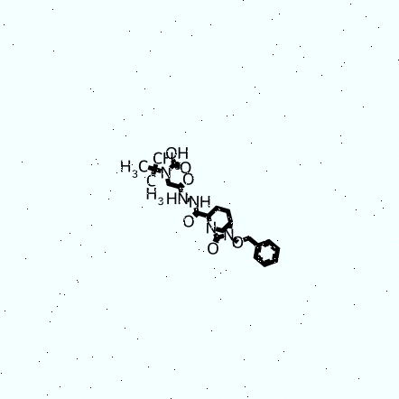 CC(C)(C)N(CC(=O)NNC(=O)C1CCC2CN1C(=O)N2OCc1ccccc1)C(=O)O